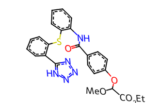 CCOC(=O)C(OC)Oc1ccc(C(=O)Nc2ccccc2Sc2ccccc2-c2nnn[nH]2)cc1